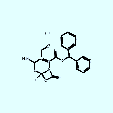 Cl.NC1S[C@H]2OC(=O)N2S(C(=O)OC(c2ccccc2)c2ccccc2)=S1CCl